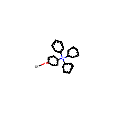 CCO.c1ccc([N+](c2ccccc2)(c2ccccc2)c2ccccc2)cc1